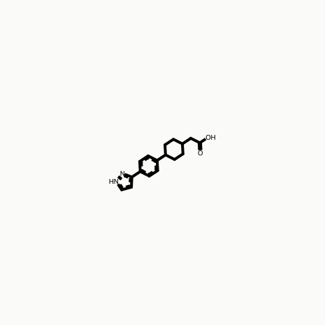 O=C(O)CC1CCC(c2ccc(-c3cc[nH]n3)cc2)CC1